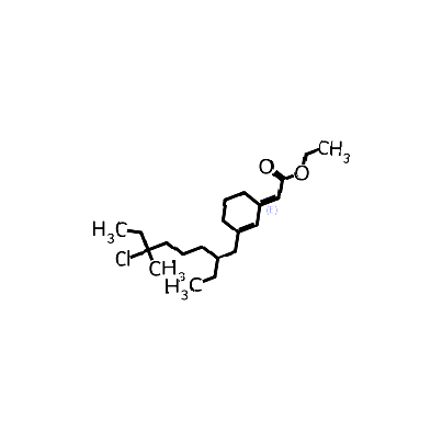 CCOC(=O)/C=C1/C=C(CC(CC)CCCC(C)(Cl)CC)CCC1